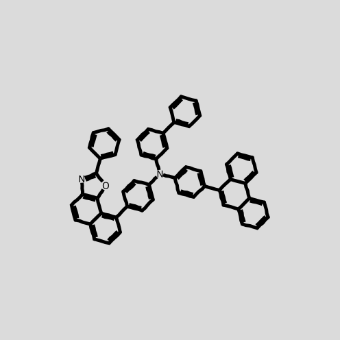 c1ccc(-c2cccc(N(c3ccc(-c4cc5ccccc5c5ccccc45)cc3)c3ccc(-c4cccc5ccc6nc(-c7ccccc7)oc6c45)cc3)c2)cc1